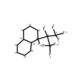 CC1(C(F)(C(F)(F)F)C(F)(F)F)CCCC2CCCCC21